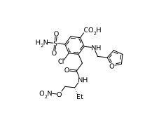 CC[C@H](CO[N+](=O)[O-])NC(=O)Cc1c(Cl)c(S(N)(=O)=O)cc(C(=O)O)c1NCc1ccco1